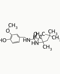 COc1cc(CNC(=O)NC(C)(C)CC(C)(C)C)ccc1O